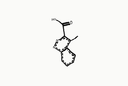 Cc1c(C(=O)O)nnc2ccccc12